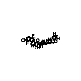 Cc1cc(Cn2cc(NC(=O)c3nc(-c4c(C(F)F)ccc(Cl)c4F)cnc3[C@@H](C)O)cn2)nnc1N1C[C@H]2C[C@H]2C1=O